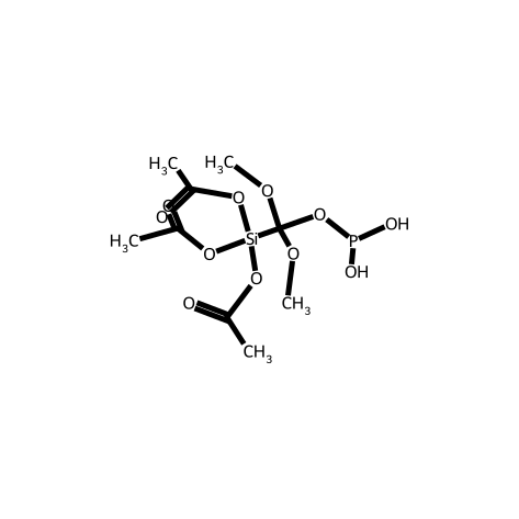 COC(OC)(OP(O)O)[Si](OC(C)=O)(OC(C)=O)OC(C)=O